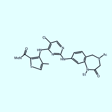 CCN1C(=O)CN(C(C)=O)Cc2ccc(Nc3ncc(Cl)c(Nc4c(C)csc4C(=O)NC)n3)cc21